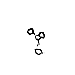 c1ccc(-n2nc(OC[C@H]3CCCNC3)c3ccccc32)cc1